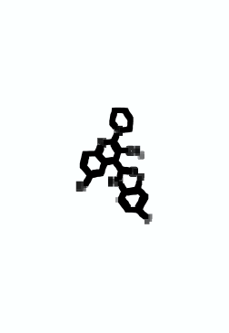 Cc1c(N2CCCCC2)nc2ccc(Br)cc2c1C(=O)Nc1[c]cc(F)cc1F